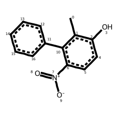 Cc1c(O)ccc([N+](=O)[O-])c1-c1ccccc1